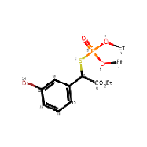 CCOC(=O)C(SP(=O)(OCC)OCC)c1cccc(Br)c1